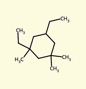 CCC1CC(C)(C)CC(C)(CC)C1